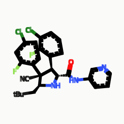 CC(C)(C)C[C@@H]1N[C@@H](C(=O)Nc2cccnc2)[C@H](c2cccc(Cl)c2F)[C@@]1(C#N)c1ccc(Cl)cc1F